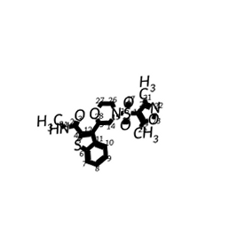 CNC(=O)c1sc2ccccc2c1C1CN(S(=O)(=O)c2c(C)noc2C)CCO1